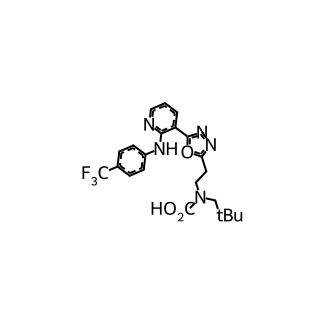 CC(C)(C)CN(CCc1nnc(-c2cccnc2Nc2ccc(C(F)(F)F)cc2)o1)C(=O)O